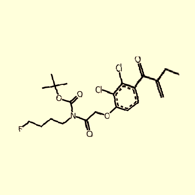 C=C(CC)C(=O)c1ccc(OCC(=O)N(CCCCF)C(=O)OC(C)(C)C)c(Cl)c1Cl